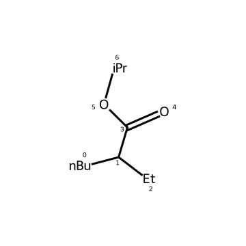 CCCCC(CC)C(=O)OC(C)C